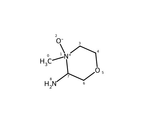 C[N+]1([O-])CCOCC1N